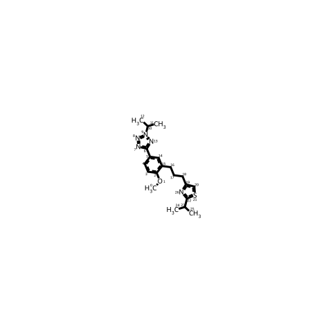 COc1ccc(-c2nnn(C(C)C)n2)cc1CCCc1csc(C(C)C)n1